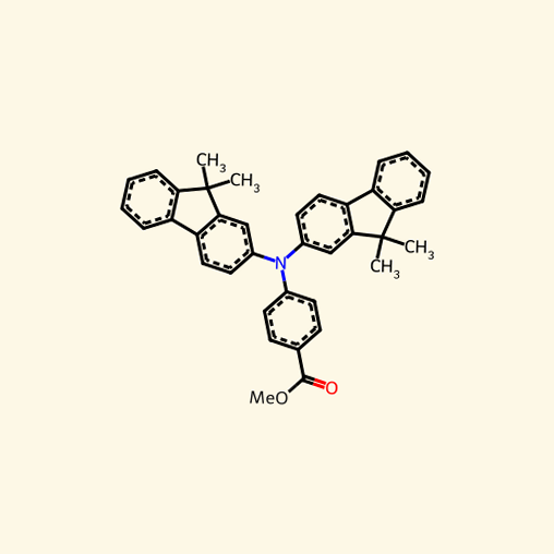 COC(=O)c1ccc(N(c2ccc3c(c2)C(C)(C)c2ccccc2-3)c2ccc3c(c2)C(C)(C)c2ccccc2-3)cc1